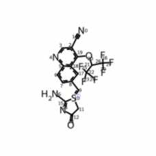 N#Cc1cnc2ccc(/C=S3/CC(=O)N=C3N)cc2c1OC(C(F)(F)F)C(F)(F)F